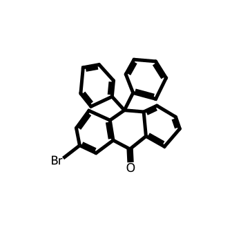 O=C1c2ccccc2C(c2ccccc2)(c2ccccc2)c2ccc(Br)cc21